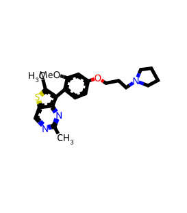 COc1cc(OCCCN2CCCC2)ccc1-c1c(C)sc2cnc(C)nc12